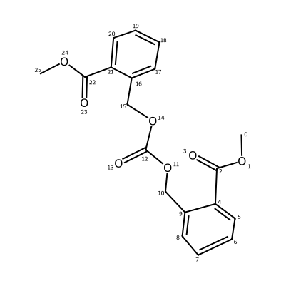 COC(=O)c1ccccc1COC(=O)OCc1ccccc1C(=O)OC